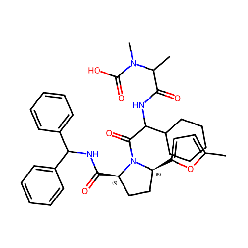 Cc1ccc([C@H]2CC[C@@H](C(=O)NC(c3ccccc3)c3ccccc3)N2C(=O)C(NC(=O)C(C)N(C)C(=O)O)C2CCCCC2)o1